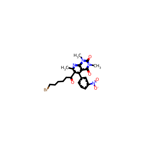 Cc1nc2c(c(-c3cccc([N+](=O)[O-])c3)c1C(=O)CCCCCBr)c(=O)n(C)c(=O)n2C